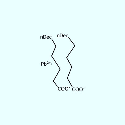 CCCCCCCCCCCCCCC(=O)[O-].CCCCCCCCCCCCCCC(=O)[O-].[Pb+2]